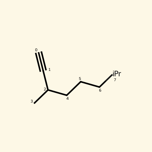 [C]#CC(C)CCCC([CH2])C